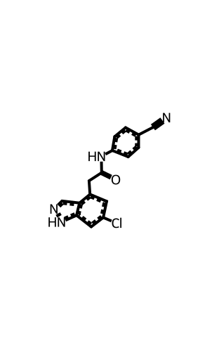 N#Cc1ccc(NC(=O)Cc2cc(Cl)cc3[nH]ncc23)cc1